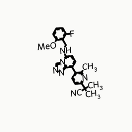 COc1cccc(F)c1CNc1ccc(-c2ccc(C(C)(C)C#N)nc2C)c2nncn12